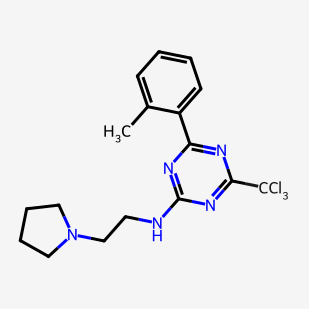 Cc1ccccc1-c1nc(NCCN2CCCC2)nc(C(Cl)(Cl)Cl)n1